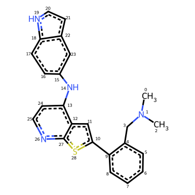 CN(C)Cc1ccccc1-c1cc2c(Nc3ccc4[nH]ccc4c3)ccnc2s1